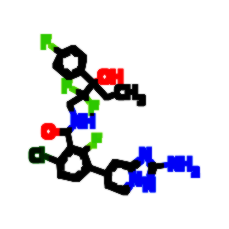 CCC(O)(c1ccc(F)cc1)C(F)(F)CNC(=O)c1c(Cl)ccc(-c2ccn3nc(N)nc3c2)c1F